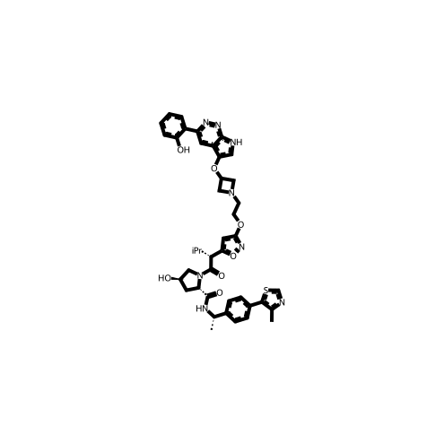 Cc1ncsc1-c1ccc([C@H](C)NC(=O)[C@@H]2C[C@@H](O)CN2C(=O)[C@@H](c2cc(OCCN3CC(Oc4c[nH]c5nnc(-c6ccccc6O)cc45)C3)no2)C(C)C)cc1